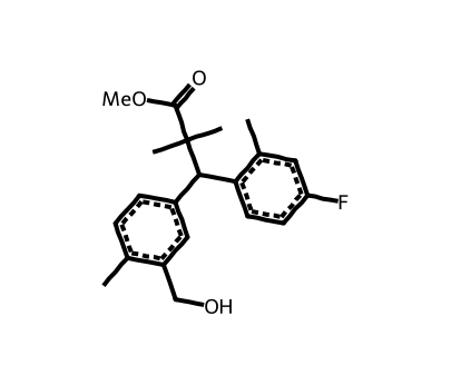 COC(=O)C(C)(C)C(c1ccc(C)c(CO)c1)c1ccc(F)cc1C